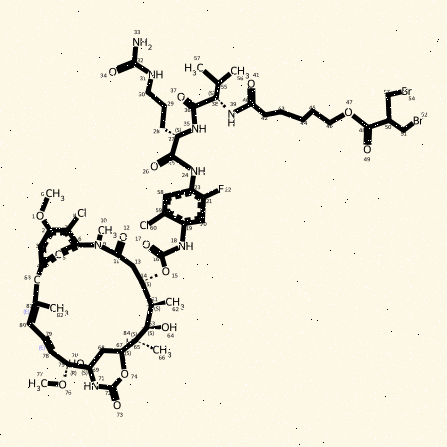 COc1cc2cc(c1Cl)N(C)C(=O)C[C@H](OC(=O)Nc1cc(F)c(NC(=O)[C@H](CCCNC(N)=O)NC(=O)[C@@H](NC(=O)CCCCCOC(=O)C(CBr)CBr)C(C)C)cc1Cl)[C@@H](C)[C@@H](O)[C@H](C)[C@@H]1C[C@@](O)(NC(=O)O1)[C@H](OC)/C=C/C=C(\C)C2